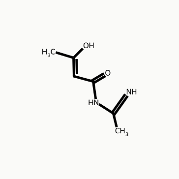 CC(=N)NC(=O)C=C(C)O